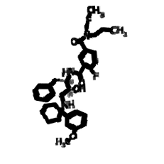 CCCN(CCC)C(=O)c1ccc(F)c(C(=O)N[C@@H](Cc2ccccc2)[C@H](O)CNC2(c3cccc(OC)c3)CCCCC2)c1